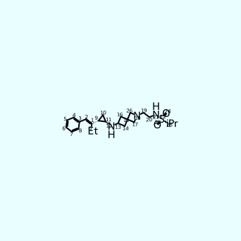 CC/C(=C\c1ccccc1)[C@@H]1C[C@H]1NC1CC2(C1)CN(CCNS(=O)(=O)C(C)C)C2